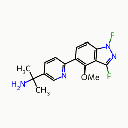 COc1c(-c2ccc(C(C)(C)N)cn2)ccc2c1c(F)nn2F